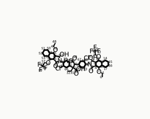 CCOc1c2c(c(OCC(F)(F)F)c3ccccc13)C(O)N(c1ccc(C(C(=O)O)C(CC)(C(=O)O)c3ccc(N4C(=O)c5c(c(OCC)c6ccccc6c5OCC(F)(F)F)C4O)c(Cl)c3)cc1Cl)C2=O